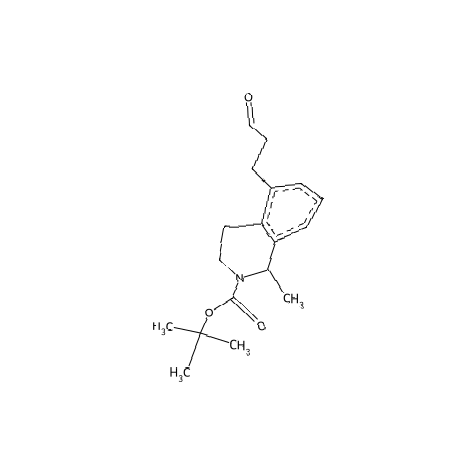 CC1c2cccc(CCC=O)c2CCN1C(=O)OC(C)(C)C